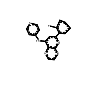 Fc1ccccc1-c1cc(Nc2ccncc2)c2nccnc2n1